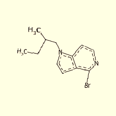 CCC(C)Cn1ccc2c(Br)nccc21